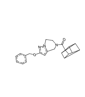 O=C(N1CCn2nc(OCc3ccccc3)cc2C1)C12C3C4C5C3C1C5C42